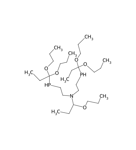 CCCOC(CC)N(CCPC(CC)(OCCC)OCCC)CCPC(CC)(OCCC)OCCC